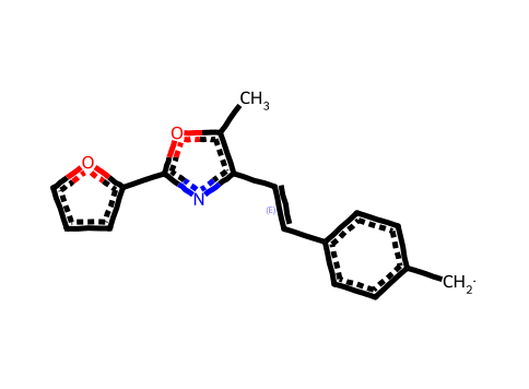 [CH2]c1ccc(/C=C/c2nc(-c3ccco3)oc2C)cc1